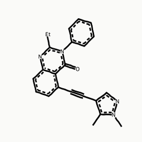 CCc1nc2cccc(C#Cc3cnn(C)c3C)c2c(=O)n1-c1ccccc1